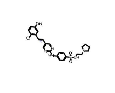 O=S(=O)(NCCN1CCCC1)c1ccc(Nc2ncc(/C=C/c3cc(O)ccc3Cl)cn2)cc1